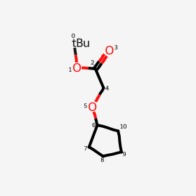 CC(C)(C)OC(=O)COC1CCCC1